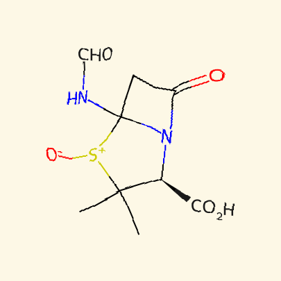 CC1(C)[C@H](C(=O)O)N2C(=O)CC2(NC=O)[S+]1[O-]